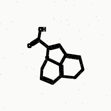 O=C(O)c1cc2c3n1CC=CC=3CCC=2